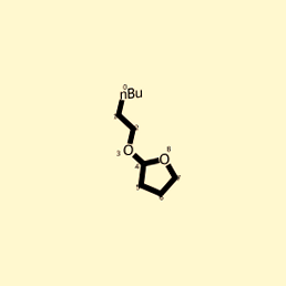 CCCCCCOC1CCCO1